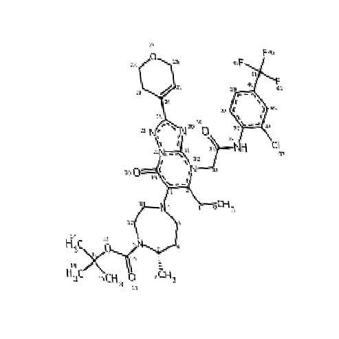 CCc1c(N2CC[C@H](C)N(C(=O)OC(C)(C)C)CC2)c(=O)n2nc(C3=CCOCC3)nc2n1CC(=O)Nc1ccc(C(F)(F)F)cc1Cl